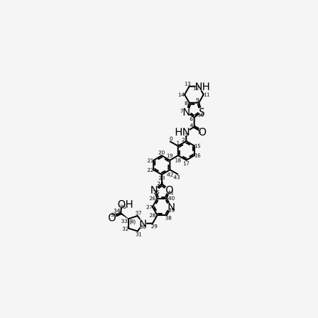 Cc1c(NC(=O)c2nc3c(s2)CNCC3)cccc1-c1cccc(-c2nc3cc(CN4CC[C@@H](C(=O)O)C4)cnc3o2)c1C